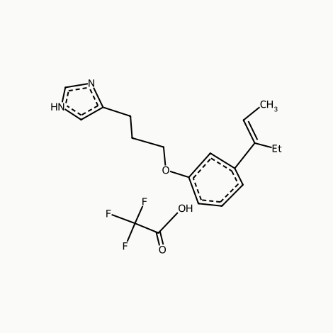 CC=C(CC)c1cccc(OCCCc2c[nH]cn2)c1.O=C(O)C(F)(F)F